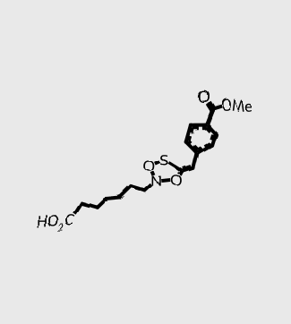 COC(=O)c1ccc(C=C2ON(CCCCCCC(=O)O)OS2)cc1